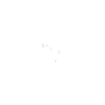 [Al].[Ba].[Si].[V]